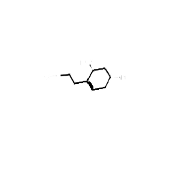 CC(C)[C@@H]1CC=C(CCC=O)[C@@H](C)C1